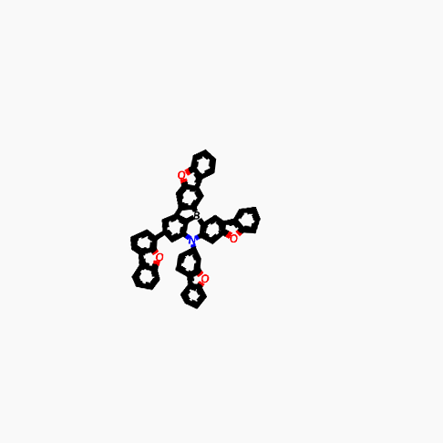 c1ccc2c(c1)oc1cc(N3c4cc5oc6ccccc6c5cc4B4c5cc6c(cc5-c5cc(-c7cccc8c7oc7ccccc78)cc3c54)oc3ccccc36)ccc12